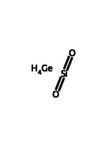 O=[Si]=O.[GeH4]